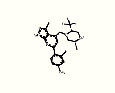 Cc1n[nH]c2nc(-c3ccc(O)cc3F)cc(CN3C[C@H](C)NC[C@@H]3C(F)(F)F)c12